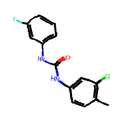 Cc1ccc(NC(=O)Nc2cccc(F)c2)cc1Cl